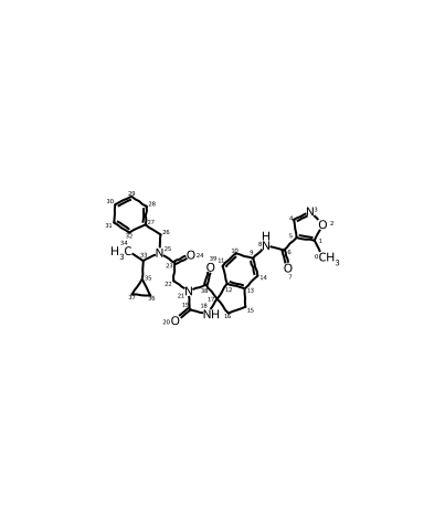 Cc1oncc1C(=O)Nc1ccc2c(c1)CCC21NC(=O)N(CC(=O)N(Cc2ccccc2)C(C)C2CC2)C1=O